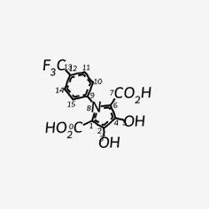 O=C(O)c1c(O)c(O)c(C(=O)O)n1-c1ccc(C(F)(F)F)cc1